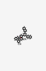 N#Cc1ccc(C2(c3ccc(C#N)cc3)C(c3ccc(-c4nc(-c5ccc6ccccc6c5)nc(-c5ccc6ccccc6c5)n4)cc3)=Cc3ccccc32)cc1